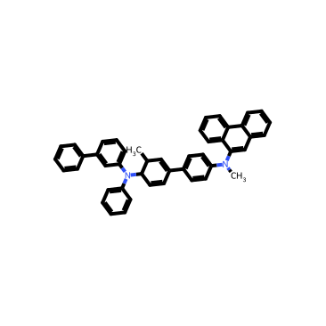 CC1C=C(c2ccc(N(C)c3cc4ccccc4c4ccccc34)cc2)C=CC1N(c1ccccc1)c1cccc(-c2ccccc2)c1